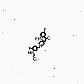 CCN1c2ccc(F)cc2C(=O)CC12CCN(Cc1ccc(F)c(NCCO)c1)CC2